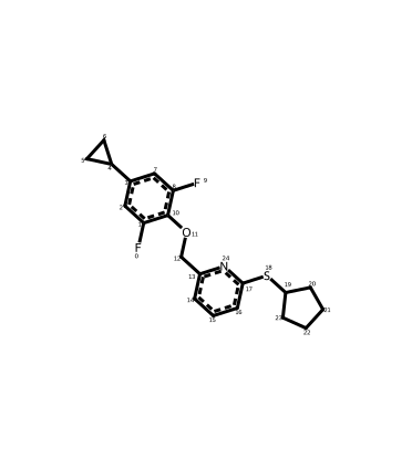 Fc1cc(C2CC2)cc(F)c1OCc1cccc(SC2CCCC2)n1